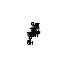 CC[C@H](C)[C@H](NN(CC=O)C(=O)OC(C)(C)C)C(=O)N[C@@H](Cc1ccccc1)[C@H](O)CN(CC(C)C)S(=O)(=O)c1ccc(C=NO)cc1